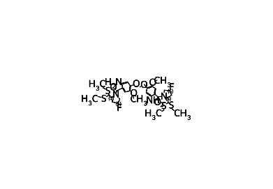 CCSC(SCC)[C@@H]1C[C@H](F)CN1C(=O)c1cc(OC)c(OCOc2cc(N)c(C(=O)N3C[C@@H](F)C[C@H]3C(SCC)SCC)cc2OC)cc1N